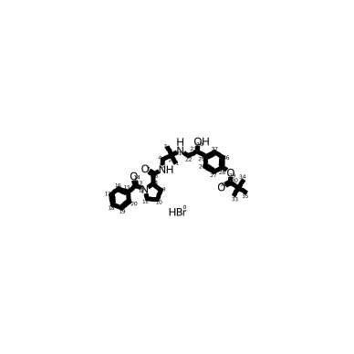 Br.CC(C)(CNC(=O)C1CCCN1C(=O)c1ccccc1)NCC(O)c1ccc(OC(=O)C(C)(C)C)cc1